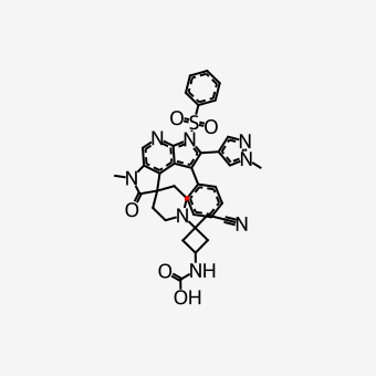 CN1C(=O)C2(CCN(C3(CC#N)CC(NC(=O)O)C3)CC2)c2c1cnc1c2c(-c2ccccc2)c(-c2cnn(C)c2)n1S(=O)(=O)c1ccccc1